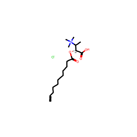 C=CCCCCCCCCC(=O)O[C@@H](C(=O)O)C(C)[N+](C)(C)C.[Cl-]